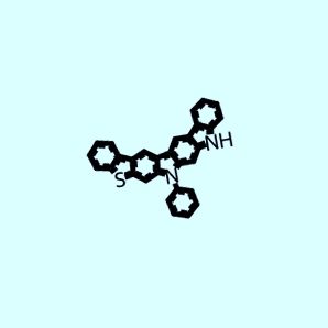 c1ccc(-n2c3cc4[nH]c5ccccc5c4cc3c3cc4c(cc32)sc2ccccc24)cc1